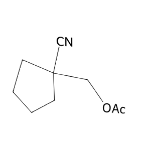 CC(=O)OCC1(C#N)CCCC1